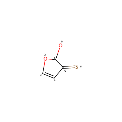 [O]C1OC=CC1=S